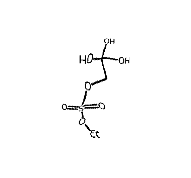 CCOS(=O)(=O)OCC(O)(O)O